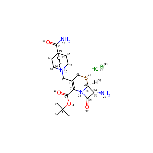 CC(C)(C)OC(=O)C1=C(C[N+]23CCC(C(N)=O)(CC2)CC3)CS[C@H]2[C@H](N)C(=O)N12.Cl.[Br-]